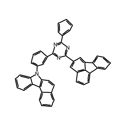 c1ccc(-c2nc(-c3cccc(-n4c5ccccc5c5c6ccccc6ccc54)c3)nc(-c3cc4c5c(cccc5c3)-c3ccccc3-4)n2)cc1